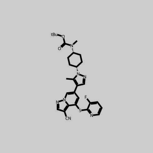 Cc1c(-c2cc(Sc3ncccc3F)c3c(C#N)cnn3c2)cnn1[C@H]1CC[C@@H](N(C)C(=O)OC(C)(C)C)CC1